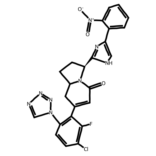 O=C1C=C(c2c(-n3cnnn3)ccc(Cl)c2F)CC2CC[C@@H](c3nc(-c4ccccc4[N+](=O)[O-])c[nH]3)N12